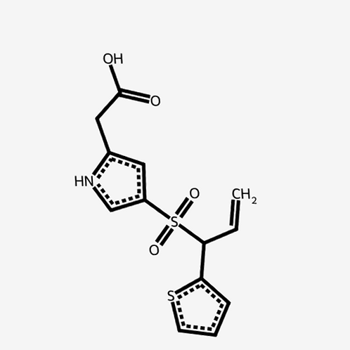 C=CC(c1cccs1)S(=O)(=O)c1c[nH]c(CC(=O)O)c1